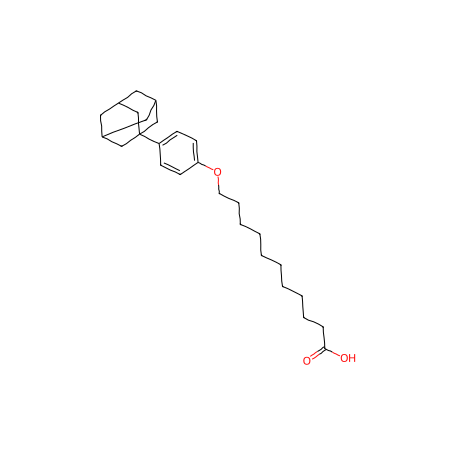 O=C(O)CCCCCCCCCCOc1ccc(C23CC4CC(CC(C4)C2)C3)cc1